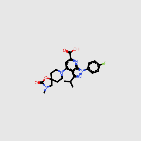 CC(C)c1nn(-c2ccc(F)cc2)c2nc(C(=O)O)cc(N3CCC4(CC3)CN(C)C(=O)O4)c12